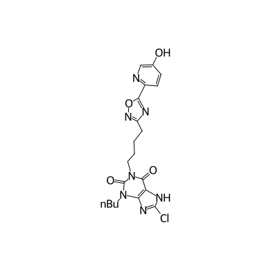 CCCCn1c(=O)n(CCCCc2noc(-c3ccc(O)cn3)n2)c(=O)c2[nH]c(Cl)nc21